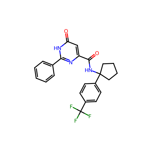 O=C(NC1(c2ccc(C(F)(F)F)cc2)CCCC1)c1cc(=O)[nH]c(-c2ccccc2)n1